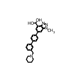 Cn1nnc2c(C(O)O)cc(-c3ccc(-c4cccc(CN5CCCCC5)c4)cc3)cc21